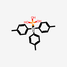 Cc1ccc([TeH](c2ccc(C)cc2)(c2ccc(C)cc2)=P(O)(O)O)cc1